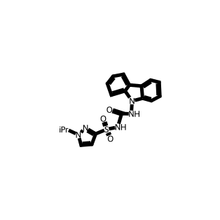 CC(C)n1ccc(S(=O)(=O)NC(=O)Nn2c3ccccc3c3ccccc32)n1